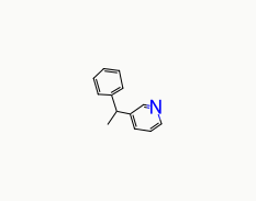 CC(c1ccccc1)c1cccnc1